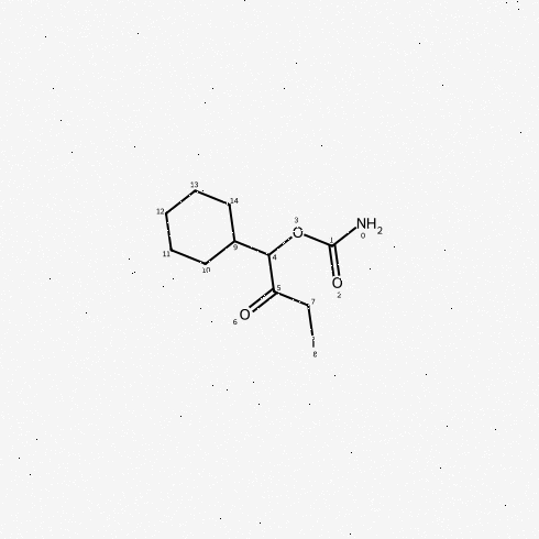 NC(=O)OC(C(=O)CI)C1CCCCC1